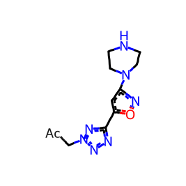 CC(=O)Cn1nnc(-c2cc(N3CCNCC3)no2)n1